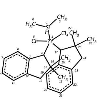 C[SiH](C)[Zr]([Cl])([Cl])([CH]1c2ccccc2CC1(C)C)[CH]1c2ccccc2CC1(C)C